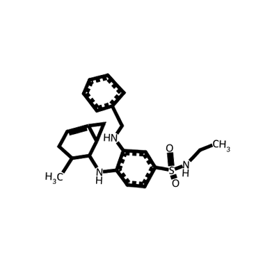 CCNS(=O)(=O)c1ccc(NC2C(C)CC=C3CC32)c(NCc2ccccc2)c1